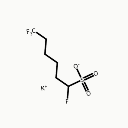 O=S(=O)([O-])C(F)CCCCC(F)(F)F.[K+]